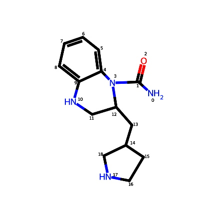 NC(=O)N1c2ccccc2NCC1CC1CCNC1